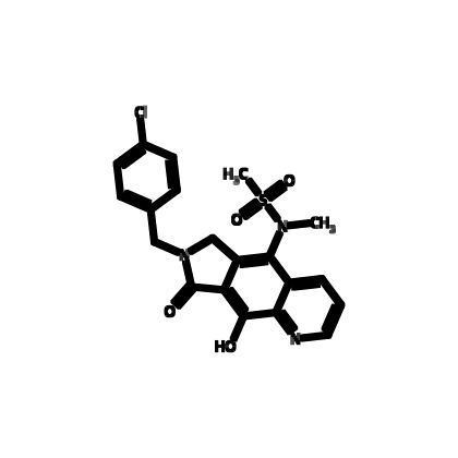 CN(c1c2c(c(O)c3ncccc13)C(=O)N(Cc1ccc(Cl)cc1)C2)S(C)(=O)=O